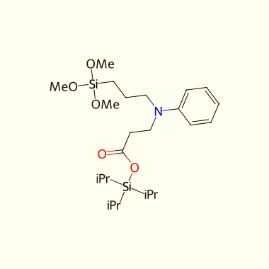 CO[Si](CCCN(CCC(=O)O[Si](C(C)C)(C(C)C)C(C)C)c1ccccc1)(OC)OC